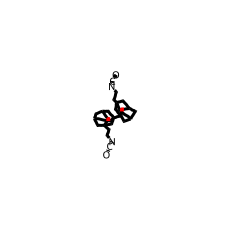 O=C=NCCC12CC3CC(C1)CC(C14CC5CC(CC(CCN=C=O)(C5)C1)C4)(C3)C2